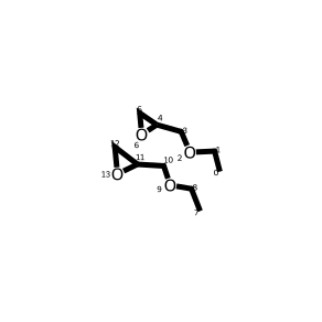 CCOCC1CO1.CCOCC1CO1